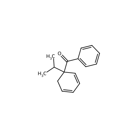 CC(C)C1(C(=O)c2ccccc2)C=CC=CC1